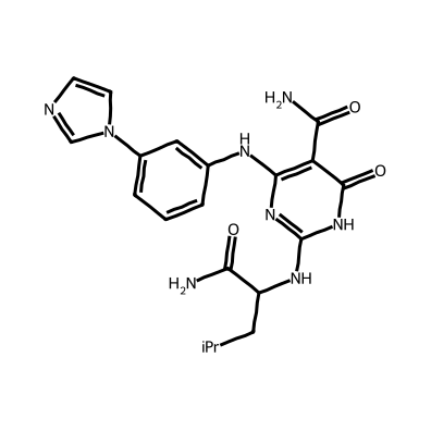 CC(C)CC(Nc1nc(Nc2cccc(-n3ccnc3)c2)c(C(N)=O)c(=O)[nH]1)C(N)=O